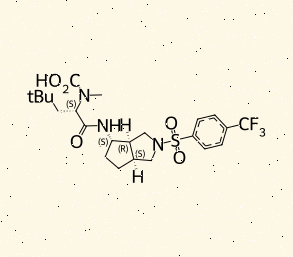 CN(C(=O)O)[C@@H](CC(C)(C)C)C(=O)N[C@H]1CC[C@@H]2CN(S(=O)(=O)c3ccc(C(F)(F)F)cc3)C[C@@H]21